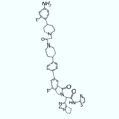 Nc1ccc(C2CCN(CC(=O)N3CCC(c4ccc(-c5cc(F)c6c(c5)C(=O)N(C(C(=O)Nc5nccs5)c5ncn7c5CCC7)C6)cc4)CC3)CC2)c(F)c1